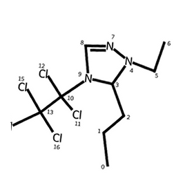 CCCC1N(CC)N=CN1C(Cl)(Cl)C(Cl)(Cl)Cl